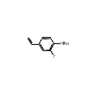 C=Cc1ccc(CCCC)c(F)c1